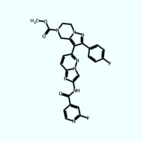 COC(=O)N1CCn2nc(-c3ccc(F)cc3)c(-c3ccc4nc(NC(=O)c5ccnc(F)c5)cn4n3)c2C1